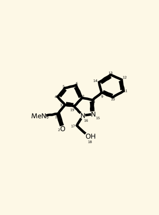 CNC(=O)c1cccc2c(-c3ccccc3)nn(CO)c12